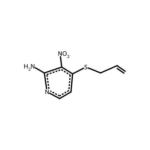 C=CCSc1ccnc(N)c1[N+](=O)[O-]